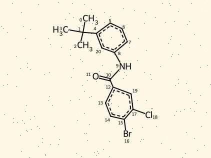 CC(C)(C)c1cccc(NC(=O)c2ccc(Br)c(Cl)c2)c1